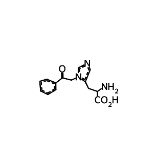 NC(Cc1cncn1CC(=O)c1ccccc1)C(=O)O